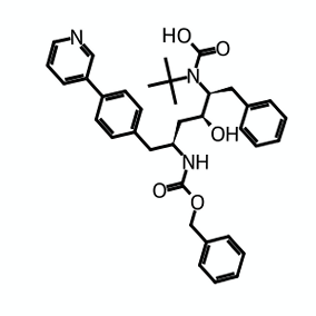 CC(C)(C)N(C(=O)O)[C@@H](Cc1ccccc1)[C@@H](O)C[C@H](Cc1ccc(-c2cccnc2)cc1)NC(=O)OCc1ccccc1